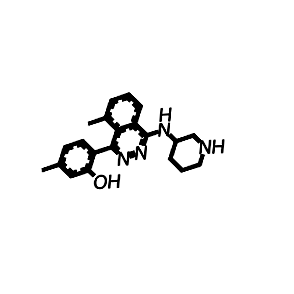 Cc1ccc(-c2nnc(NC3CCCNC3)c3cccc(C)c23)c(O)c1